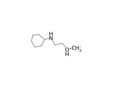 [CH2-][OH+]CCNC1CCCCC1